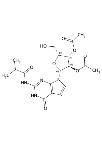 CC(=O)O[C@@H]1[C@@H](OC(C)=O)[C@@H](CO)O[C@H]1n1cnc2c(=O)[nH]c(NC(=O)C(C)C)nc21